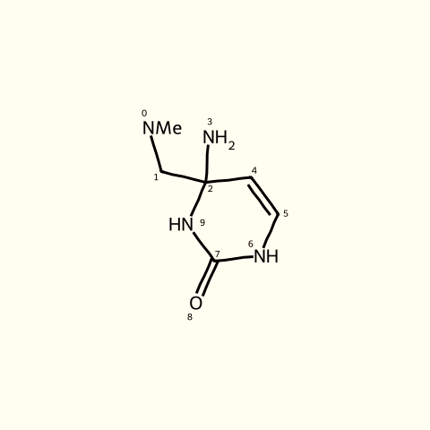 CNCC1(N)C=CNC(=O)N1